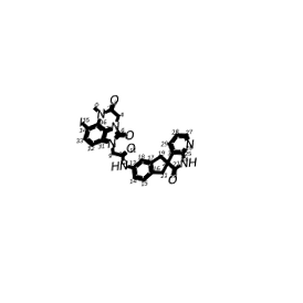 CN1C(=O)Cn2c(=O)n(CC(=O)Nc3ccc4c(c3)CC3(C4)C(=O)Nc4ncccc43)c3ccc(I)c1c32